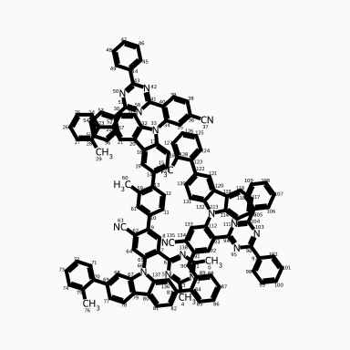 Cc1nc(C)nc(-c2cc(-c3ccc(-c4ccc5c(c4)c4cc(-c6ccccc6C)ccc4n5-c4cc(C#N)ccc4-c4nc(-c5ccccc5)nc(-c5ccccc5)n4)c(C)c3)c(C#N)cc2-n2c3cc(-c4ccccc4C)ccc3c3ccc(-c4ccccc4Cc4cc(-c5nc(-c6ccccc6)nc(-c6ccccc6)n5)c(-n5c6ccccc6c6cc(-c7ccccc7C)ccc65)cc4C#N)cc32)n1